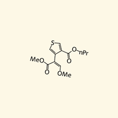 CCCOC(=O)c1cscc1C(=COC)C(=O)OC